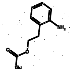 CC(C)(C)C(=O)OCCc1ccccc1N